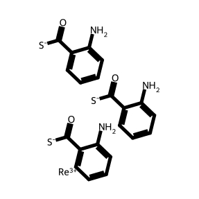 Nc1ccccc1C(=O)[S-].Nc1ccccc1C(=O)[S-].Nc1ccccc1C(=O)[S-].[Re+3]